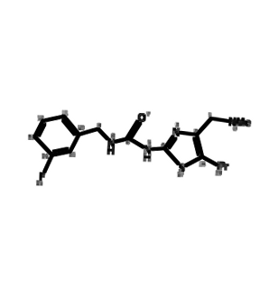 CNCc1nc(NC(=O)NCc2cccc(F)c2)sc1C(C)C